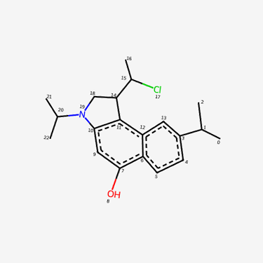 CC(C)c1ccc2c(O)cc3c(c2c1)C(C(C)Cl)CN3C(C)C